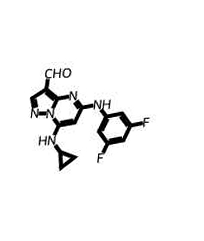 O=Cc1cnn2c(NC3CC3)cc(Nc3cc(F)cc(F)c3)nc12